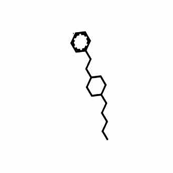 CCCCCC1CCC(CCc2cc[c]cc2)CC1